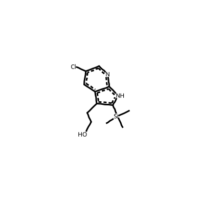 C[Si](C)(C)c1[nH]c2ncc(Cl)cc2c1CCO